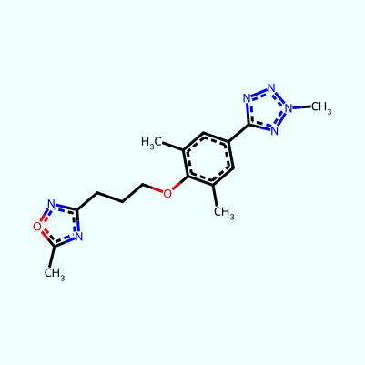 Cc1nc(CCCOc2c(C)cc(-c3nnn(C)n3)cc2C)no1